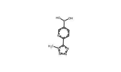 Cn1nnnc1-c1ccc(B(O)O)cn1